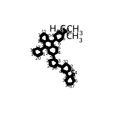 CC(C)(C)c1ccc(-c2c3ccccc3c(-c3ccccc3)c3cc(-c4cccc(-c5ccc6sc7ccccc7c6c5)c4)ccc23)cc1